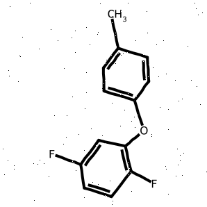 Cc1ccc(Oc2cc(F)ccc2F)cc1